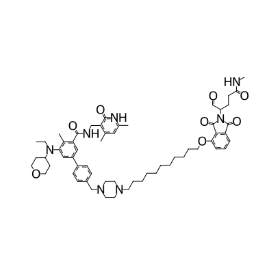 CCN(c1cc(-c2ccc(CN3CCN(CCCCCCCCCCCOc4cccc5c4C(=O)N(C(C=O)CCC(=O)NC)C5=O)CC3)cc2)cc(C(=O)NCc2c(C)cc(C)[nH]c2=O)c1C)C1CCOCC1